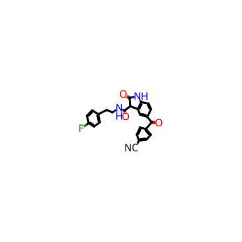 N#Cc1ccc(C(=O)c2ccc3c(c2)C(C(=O)NCCc2ccc(F)cc2)C(=O)N3)cc1